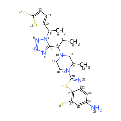 CCC(c1nnnn1C(C)c1ccc(F)s1)N1CCN(c2nc3cc(N)cc(F)c3s2)C(C)C1